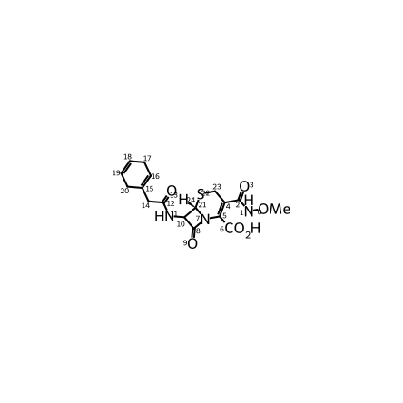 CONC(=O)C1=C(C(=O)O)N2C(=O)C(NC(=O)CC3=CCC=CC3)[C@@H]2SC1